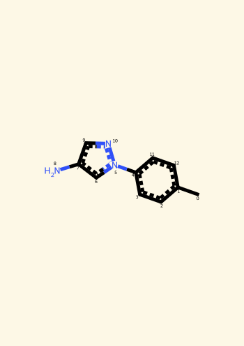 Cc1ccc(-n2cc(N)cn2)cc1